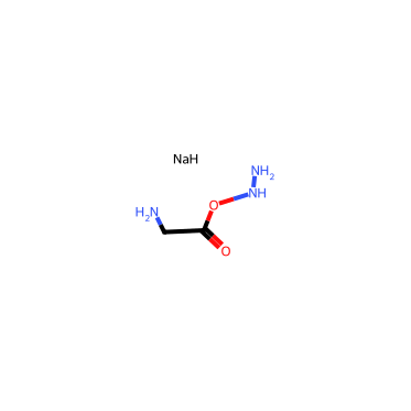 NCC(=O)ONN.[NaH]